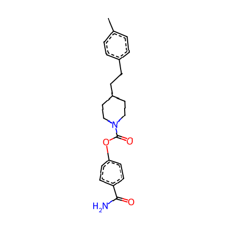 Cc1ccc(CCC2CCN(C(=O)Oc3ccc(C(N)=O)cc3)CC2)cc1